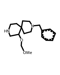 COCOC1CNCCC12CCN(Cc1ccccc1)CC2